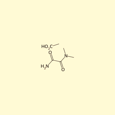 CC(=O)O.CN(C)C(=O)C(N)=O